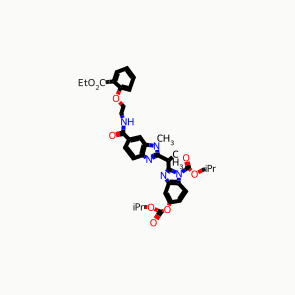 CCOC(=O)c1ccccc1OCCNC(=O)c1ccc2nc(C(C)c3nc4cc(OC(=O)OC(C)C)ccc4n3C(=O)OC(C)C)n(C)c2c1